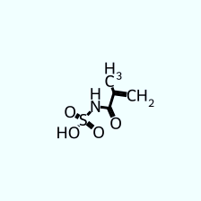 C=C(C)C(=O)NS(=O)(=O)O